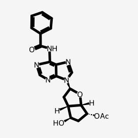 CC(=O)O[C@@H]1C[C@@H](O)[C@@H]2C[C@@H](n3cnc4c(NC(=O)c5ccccc5)ncnc43)O[C@@H]21